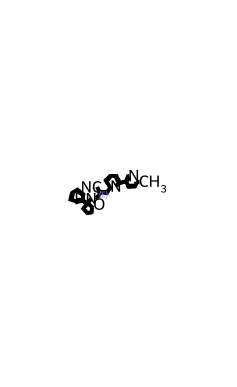 Cc1ccc(-c2cccc(/C=C(\C#N)C(=O)NC3(c4ccccc4)CCCC3)n2)cn1